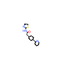 O=C(Cc1ccc(-c2ccccn2)cc1)Nc1nccs1